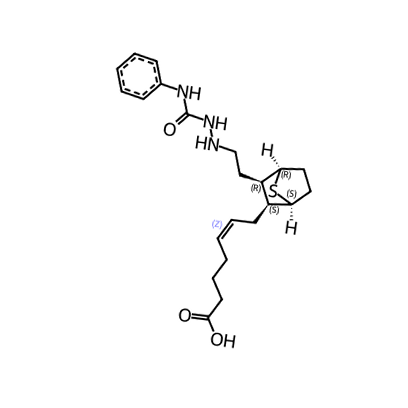 O=C(O)CCC/C=C\C[C@H]1[C@@H](CCNNC(=O)Nc2ccccc2)[C@H]2CC[C@@H]1S2